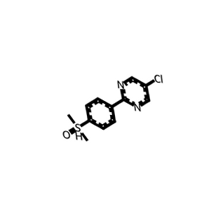 C[SH](C)(=O)c1ccc(-c2ncc(Cl)cn2)cc1